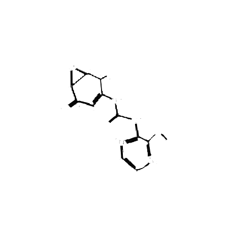 COc1nccnc1OC(=O)NC1=CC(=O)C2OC2C1O